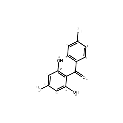 O=C(c1ccc(O)cc1)c1c(O)cc(O)cc1O